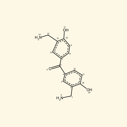 NCc1cc(C(=O)c2ccc(O)c(CN)c2)ccc1O